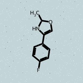 CC1NC(c2ccc(F)cc2)=CO1